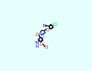 CNc1cc(C(=O)N2CCC(COc3ccc(Cl)cc3C#N)CC2)c(F)cc1OCC=O